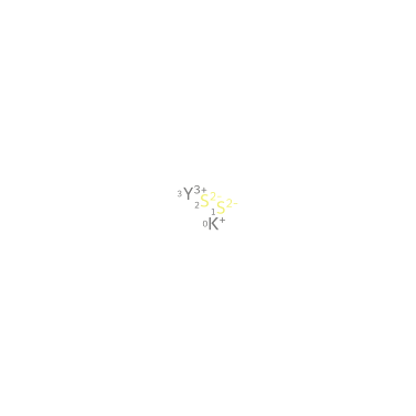 [K+].[S-2].[S-2].[Y+3]